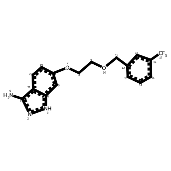 Nc1n[nH]c2cc(OCCOCc3cccc(C(F)(F)F)c3)ccc12